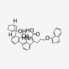 Cc1c(-c2cccc3c(CCCOc4cccc5ccccc45)c(C(=O)O)[nH]c23)cccc1C1(O)C[C@@H]2CC[C@H]1C2